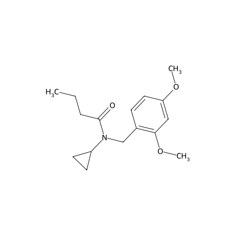 CCCC(=O)N(Cc1ccc(OC)cc1OC)C1CC1